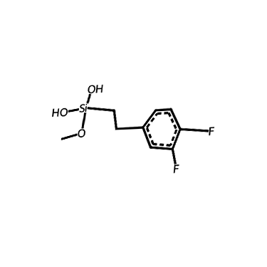 CO[Si](O)(O)CCc1ccc(F)c(F)c1